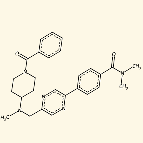 CN(C)C(=O)c1ccc(-c2cnc(CN(C)C3CCN(C(=O)c4ccccc4)CC3)cn2)cc1